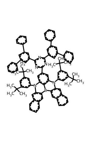 CC(C)(C)c1cc(N2c3cc4ccccc4cc3B3c4cc5ccccc5cc4N(c4cc(C(C)(C)C)cc(C(C)(C)C)c4)c4cc(-c5nc(-c6cc(-c7ccccc7)cc(-c7ccccc7)c6)nc(-c6cc(-c7ccccc7)cc(-c7ccccc7)c6)n5)cc2c43)cc(C(C)(C)C)c1